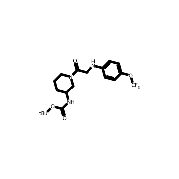 CC(C)(C)OC(=O)NC1CCCN(C(=O)CNc2ccc(OC(F)(F)F)cc2)C1